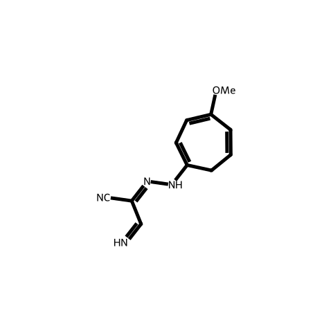 COC1=CC=C(N/N=C(/C#N)C=N)CC=C1